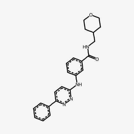 O=C(NCC1CCOCC1)c1cccc(Nc2ccc(-c3ccccc3)nn2)c1